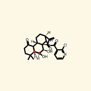 C=C1C(=O)[C@]23[C@H](OC(=O)c4cccnc4Cl)[C@H]1CC[C@H]2C12CO[C@]3(O)[C@@H](O)[C@@H]1C(C)(C)CCC2=O